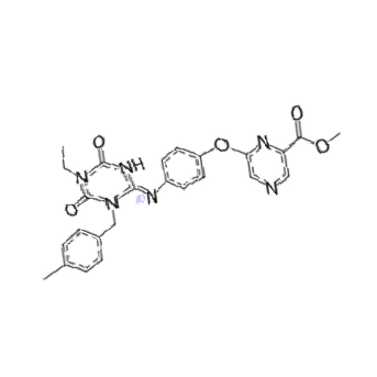 CCn1c(=O)[nH]/c(=N\c2ccc(Oc3cncc(C(=O)OC)n3)cc2)n(Cc2ccc(C)cc2)c1=O